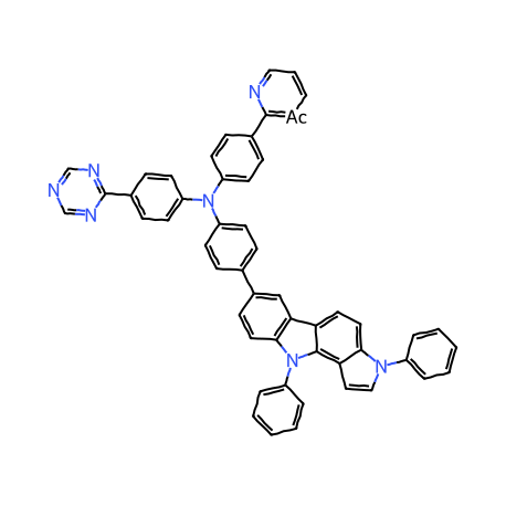 C1=[CH][Ac]=[C](c2ccc(N(c3ccc(-c4ccc5c(c4)c4ccc6c(ccn6-c6ccccc6)c4n5-c4ccccc4)cc3)c3ccc(-c4ncncn4)cc3)cc2)N=C1